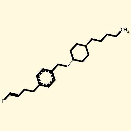 CCCCC[C@H]1CC[C@H](CCc2ccc(CCC=CF)cc2)CC1